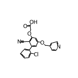 N#Cc1c(OCC(=O)O)cc(OCc2ccncc2)cc1-c1ccccc1Cl